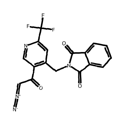 [N-]=[N+]=CC(=O)c1cnc(C(F)(F)F)cc1CN1C(=O)c2ccccc2C1=O